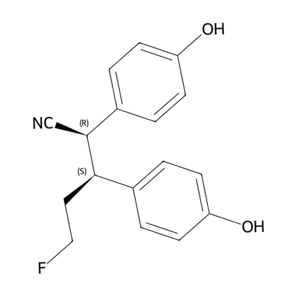 N#C[C@@H](c1ccc(O)cc1)[C@H](CCF)c1ccc(O)cc1